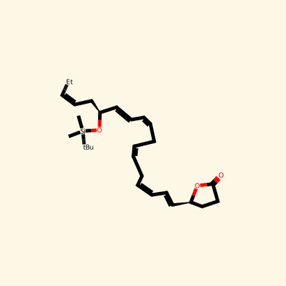 CC/C=C\C[C@@H](/C=C/C=C\C/C=C\C/C=C\C=C\[C@@H]1CCC(=O)O1)O[Si](C)(C)C(C)(C)C